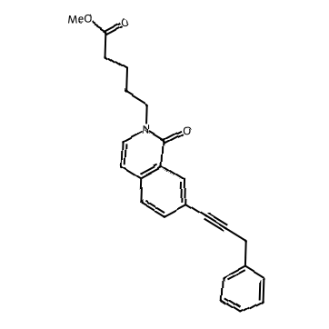 COC(=O)CCCCn1ccc2ccc(C#CCc3ccccc3)cc2c1=O